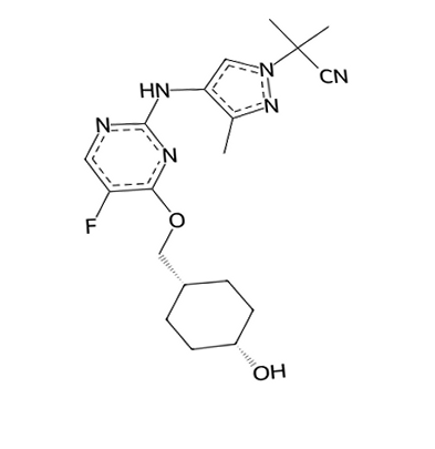 Cc1nn(C(C)(C)C#N)cc1Nc1ncc(F)c(OC[C@H]2CC[C@@H](O)CC2)n1